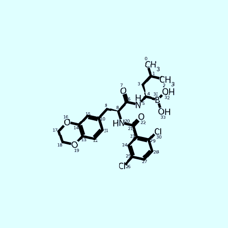 CC(C)C[C@H](NC(=O)[C@H](Cc1ccc2c(c1)OCCO2)NC(=O)c1cc(Cl)ccc1Cl)B(O)O